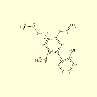 C=CCc1cc(-c2c[c]ccc2O)c(OC)cc1OCOC